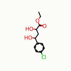 CCOC(=O)C(O)CC(O)c1ccc(Cl)cc1